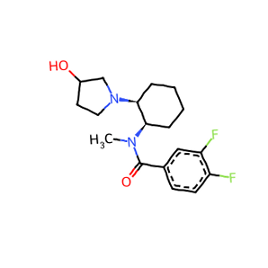 CN(C(=O)c1ccc(F)c(F)c1)[C@@H]1CCCC[C@@H]1N1CCC(O)C1